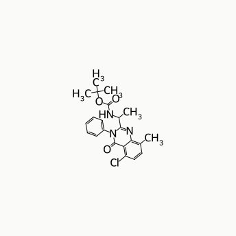 Cc1ccc(Cl)c2c(=O)n(-c3ccccc3)c(C(C)NC(=O)OC(C)(C)C)nc12